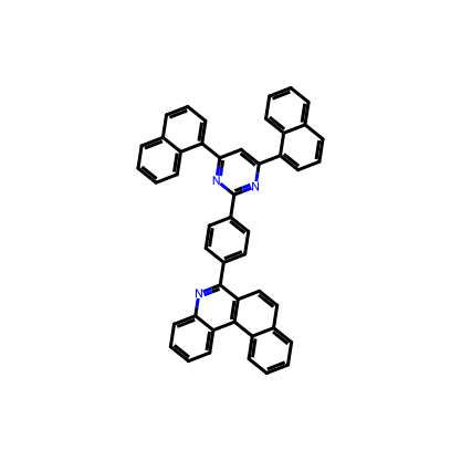 c1ccc2c(-c3cc(-c4cccc5ccccc45)nc(-c4ccc(-c5nc6ccccc6c6c5ccc5ccccc56)cc4)n3)cccc2c1